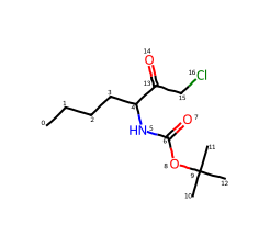 CCCCC(NC(=O)OC(C)(C)C)C(=O)CCl